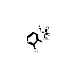 CCCCS(=O)(=O)OF.CCc1ncccc1C